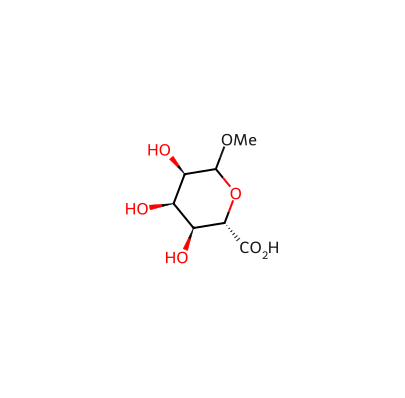 COC1O[C@H](C(=O)O)[C@@H](O)[C@@H](O)[C@H]1O